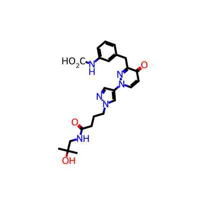 CC(C)(O)CNC(=O)CCCn1cc(-n2ccc(=O)c(Cc3cccc(NC(=O)O)c3)n2)cn1